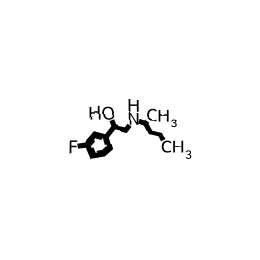 CCCC(C)NCC(O)c1cccc(F)c1